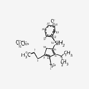 CCCC1=[C]([Ti+3])C(C(C)C)=C([SiH2]c2ccccc2)C1.[Cl-].[Cl-].[Cl-]